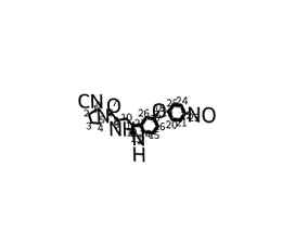 N#CC1CCCN1C(=O)C(N)Cc1c[nH]c2ccc(Oc3ccc(N=O)cc3)cc12